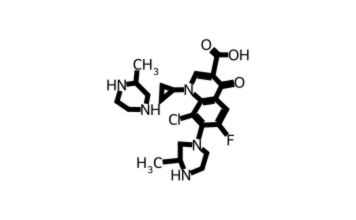 CC1CN(c2c(F)cc3c(=O)c(C(=O)O)cn(C4CC4)c3c2Cl)CCN1.CC1CNCCN1